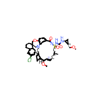 COC[C@H]1C[C@@H]1NC(=O)N[S@@]1(=O)=NC(=O)c2ccc3c(c2)N(C[C@@H]2CC[C@H]2[C@@H](OC)/C=C/C[C@H](C)C1)C[C@@]1(CCCc2cc(Cl)ccc21)CO3